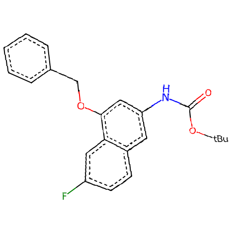 CC(C)(C)OC(=O)Nc1cc(OCc2ccccc2)c2cc(F)ccc2c1